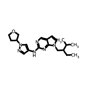 CCC(Cn1ccc2cnc(Nc3cnn(C4CCOC4)c3)nc21)C(C)C